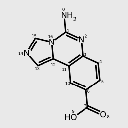 Nc1nc2ccc(C(=O)O)cc2c2cncn12